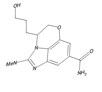 CNc1nc2cc(C(N)=O)cc3c2n1C(CCCO)CO3